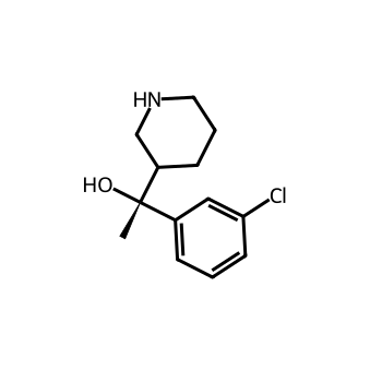 C[C@](O)(c1cccc(Cl)c1)C1CCCNC1